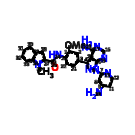 COc1cc(-c2nn(-c3cc(N)ccn3)c3ncnc(N)c23)ccc1NC(=O)c1cc2ccccc2n1C